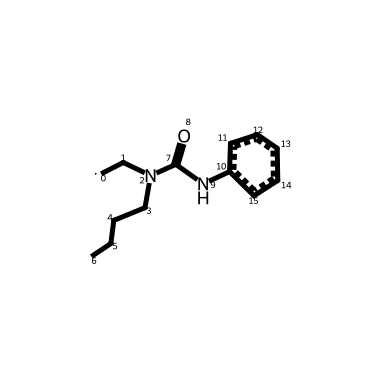 [CH2]CN(CCCC)C(=O)Nc1ccccc1